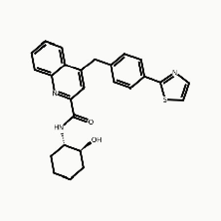 O=C(N[C@H]1CCCC[C@@H]1O)c1cc(Cc2ccc(-c3nccs3)cc2)c2ccccc2n1